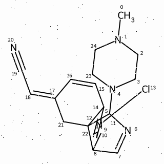 CN1CCN(C2N=CC3=CC=CN(Cl)C4C=C/C(=C\C#N)CC342)CC1